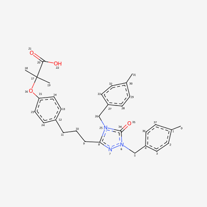 Cc1ccc(Cn2nc(CCCc3ccc(OC(C)(C)C(=O)O)cc3)n(Cc3ccc(C)cc3)c2=O)cc1